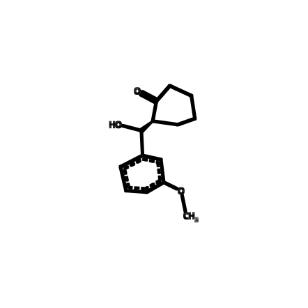 COc1cccc(C(O)[C@@H]2CCCCC2=O)c1